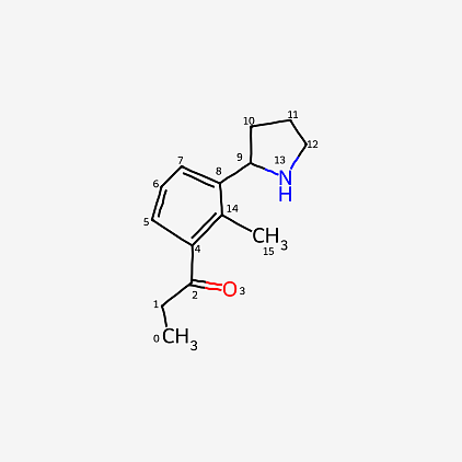 CCC(=O)c1cccc(C2CCCN2)c1C